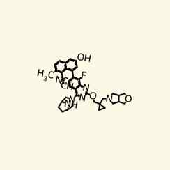 C#Cc1c(C)ccc2cc(O)cc(-c3c(C#N)cc4c(N5CC6CCC(C5)N6)nc(OCC5(CN6CC7COCC7C6)CC5)nc4c3F)c12